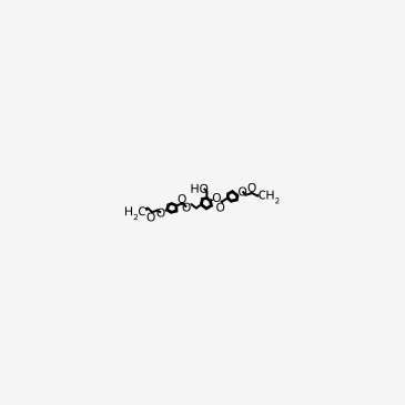 C=CC(=O)COc1ccc(C(=O)OCCc2ccc(OC(=O)c3ccc(OCC(=O)C=C)cc3)c(CO)c2)cc1